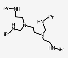 CC(C)NCCN(CCN(CCNC(C)C)CNC(C)C)CNC(C)C